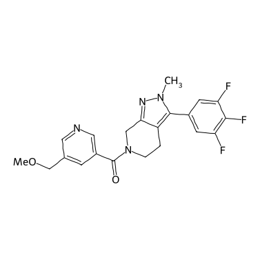 COCc1cncc(C(=O)N2CCc3c(nn(C)c3-c3cc(F)c(F)c(F)c3)C2)c1